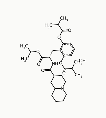 CC(C)OC(=O)[C@H](Cc1c(OC(=O)C(C)C)cccc1OC(=O)C(C)C)NC(=O)C1CCN2CCCCC2C1.Cl